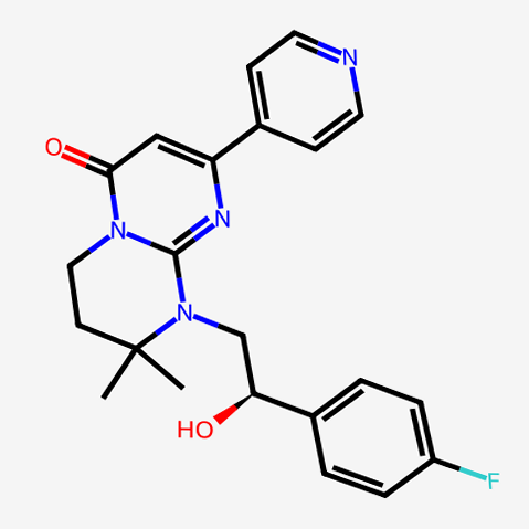 CC1(C)CCn2c(nc(-c3ccncc3)cc2=O)N1C[C@H](O)c1ccc(F)cc1